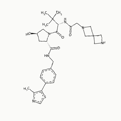 Cc1ncsc1-c1ccc(CNC(=O)[C@@H]2C[C@@H](O)CN2C(=O)[C@@H](NC(=O)CN2CC3(CNC3)C2)C(C)(C)C)cc1